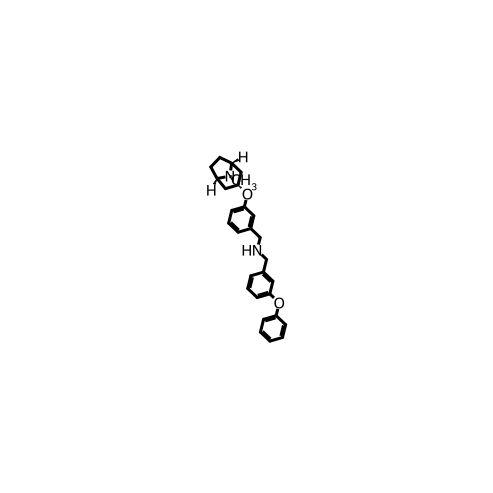 CN1[C@@H]2CC[C@H]1C[C@@H](Oc1cccc(CNCc3cccc(Oc4ccccc4)c3)c1)C2